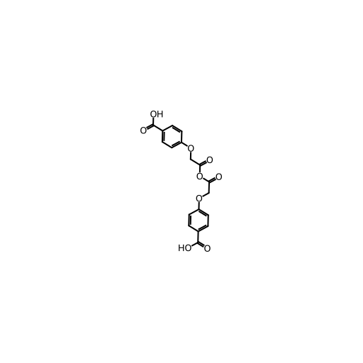 O=C(COc1ccc(C(=O)O)cc1)OC(=O)COc1ccc(C(=O)O)cc1